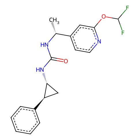 C[C@@H](NC(=O)N[C@@H]1C[C@H]1c1ccccc1)c1ccnc(OC(F)F)c1